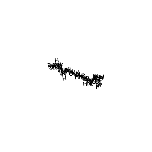 C[C@@H]1CN(CC(=O)N2CC(C)(C)c3[nH]c(=O)c(Cc4ccc(F)cc4)cc32)[C@@H](CN2CCC(CC(=O)NCc3ccc(CNC(=O)CC4CCN(C[C@H]5CN[C@H](C)CN5CC(=O)N5CC(C)(C)c6[nH]c(=O)c(Cc7ccc(F)cc7)cc65)CC4)cc3)CC2)CN1